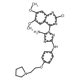 COc1cc2nc(Cl)nc(-n3nc(Nc4ccc(OCCN5CCCC5)cc4)nc3N)c2cc1OC